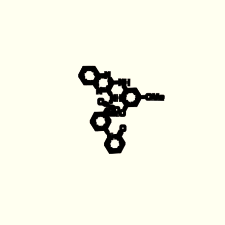 COc1cc(Nc2nc3ccccc3nc2NS(=O)(=O)c2cccc(-n3ccccc3=O)c2)cc(OC)c1